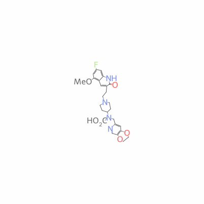 COc1cc(F)cc2[nH]c(=O)c(CCN3CCC(N(Cc4cc5c(cn4)OCCO5)C(=O)O)CC3)cc12